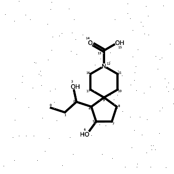 CCC(O)C1C(O)CCC12CCN(C(=O)O)CC2